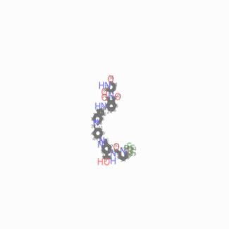 CC(C)(O)c1cc2nn([C@H]3CC[C@H](CN4CCC5(CC4)CC(Nc4cccc6c4C(=O)N(C4CCC(=O)NC4=O)C6=O)C5)CC3)cc2cc1NC(=O)c1cccc(S(F)(F)(F)(F)F)n1